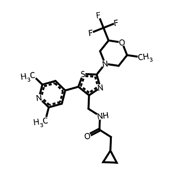 Cc1cc(-c2sc(N3CC(C)OC(C(F)(F)F)C3)nc2CNC(=O)CC2CC2)cc(C)n1